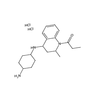 CCC(=O)N1c2ccccc2C(NC2CCC(N)CC2)CC1C.Cl.Cl